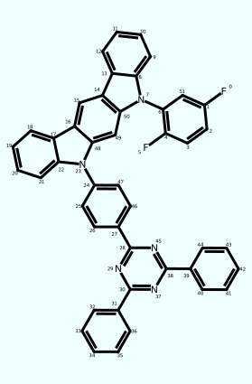 Fc1ccc(F)c(-n2c3ccccc3c3cc4c5ccccc5n(-c5ccc(-c6nc(-c7ccccc7)nc(-c7ccccc7)n6)cc5)c4cc32)c1